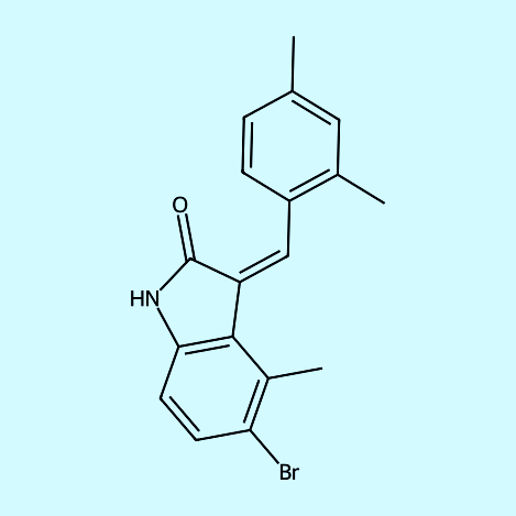 Cc1ccc(C=C2C(=O)Nc3ccc(Br)c(C)c32)c(C)c1